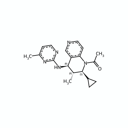 CC(=O)N1c2c[c]ncc2[C@H](Nc2nccc(C)n2)[C@@H](C)[C@@H]1C1CC1